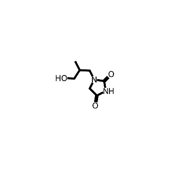 CC(CO)CN1CC(=O)NC1=O